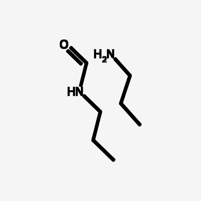 CCCN.CCCNC=O